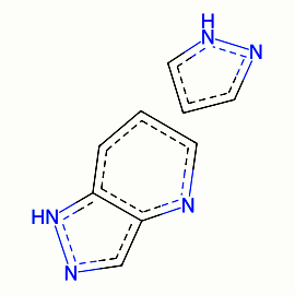 c1cn[nH]c1.c1cnc2cn[nH]c2c1